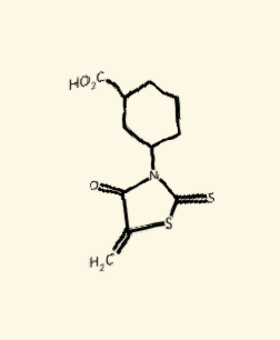 C=C1SC(=S)N(C2CCCC(C(=O)O)C2)C1=O